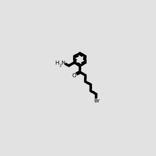 NCc1ccccc1C(=O)CCCCCBr